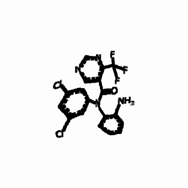 Nc1ccccc1N(C(=O)c1cncnc1C(F)(F)F)c1cc(Cl)cc(Cl)c1